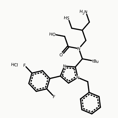 CC(C)(C)C(c1nc(-c2cc(F)ccc2F)cn1Cc1ccccc1)N(CC(CN)CS)C(=O)CO.Cl